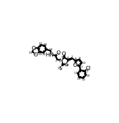 O=C(CN1C(=O)C(=Cc2ccc(-c3ccccc3Cl)o2)SC1=S)NCc1ccc2c(c1)OCO2